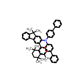 Cc1ccc(-c2cc3c(cc2N(c2ccc(-c4ccccc4)cc2)c2ccc(-c4ccccc4)cc2)C(C)(C)c2ccccc2-3)c2c1C(C)(C)CCC2(C)C